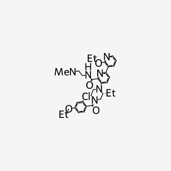 CCOc1ccc(C(=O)N2CCN(c3ccc(-c4cccnc4OCC)nc3C(=O)NCCNC)[C@H](CC)C2)c(Cl)c1